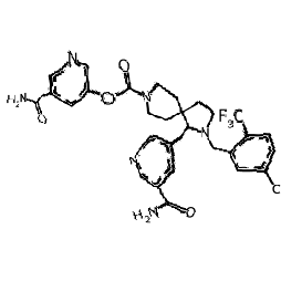 NC(=O)c1cncc(OC(=O)N2CCC3(CC2)CCN(Cc2cc(Cl)ccc2C(F)(F)F)C3c2cncc(C(N)=O)c2)c1